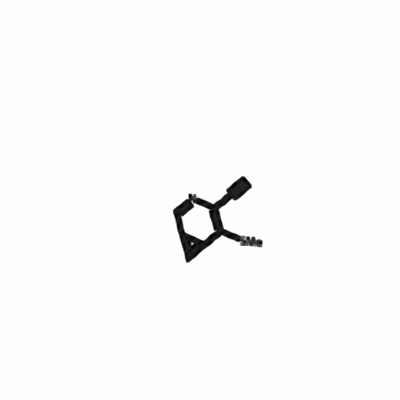 C#Cc1ncc2c(c1SC)=C=2